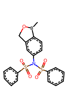 CB1OCc2cc(N(S(=O)(=O)c3ccccc3)S(=O)(=O)c3ccccc3)ccc21